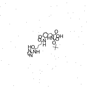 COc1ccc(C[C@H](NC(=O)OCC(C)(C)C)C(=O)O)cc1NC(=O)CCCC(=O)Nc1ncc[nH]1